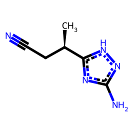 C[C@H](CC#N)c1nc(N)n[nH]1